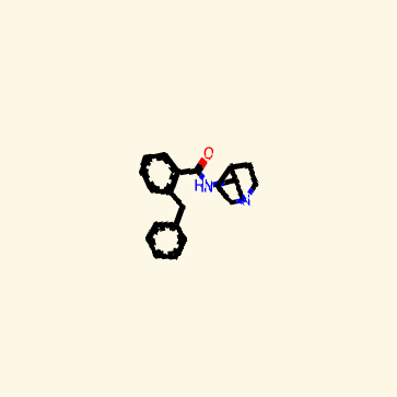 O=C(NC1CN2CCC1CC2)c1ccccc1Cc1ccccc1